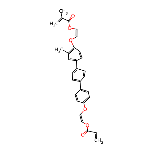 C=CC(=O)O/C=C\Oc1ccc(-c2ccc(-c3ccc(O/C=C\OC(=O)C(=C)C)c(C)c3)cc2)cc1